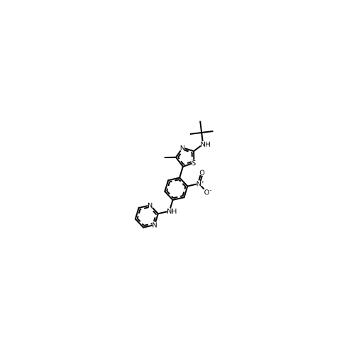 Cc1nc(NC(C)(C)C)sc1-c1ccc(Nc2ncccn2)cc1[N+](=O)[O-]